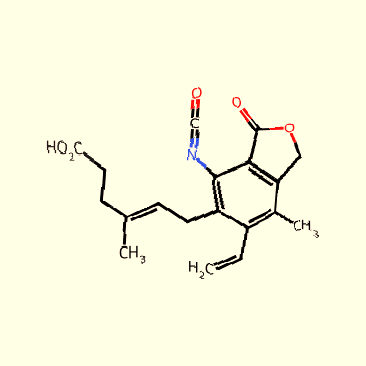 C=Cc1c(C)c2c(c(N=C=O)c1C/C=C(\C)CCC(=O)O)C(=O)OC2